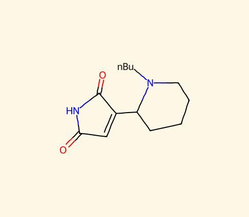 CCCCN1CCCCC1C1=CC(=O)NC1=O